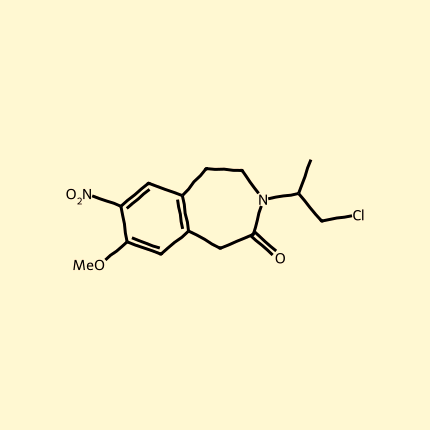 COc1cc2c(cc1[N+](=O)[O-])CCN(C(C)CCl)C(=O)C2